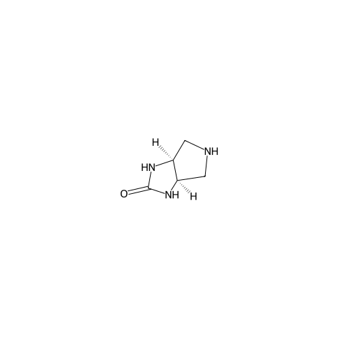 O=C1N[C@H]2CNC[C@H]2N1